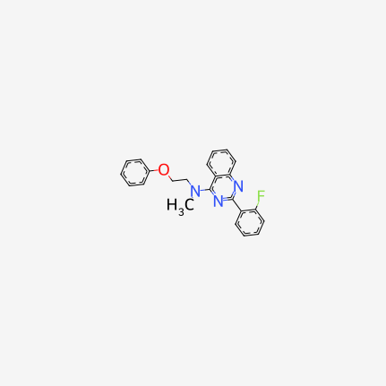 CN(CCOc1ccccc1)c1nc(-c2ccccc2F)nc2ccccc12